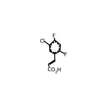 O=C(O)C=Cc1cc(Cl)c(F)cc1F